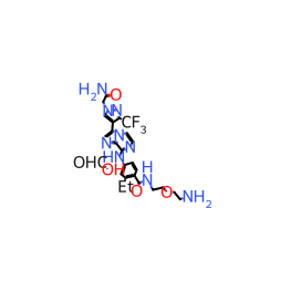 CCc1cc(Nc2nccn3c(-c4cn(CC(N)=O)nc4C(F)(F)F)cnc23)ccc1C(=O)NCCOCCN.O=CO